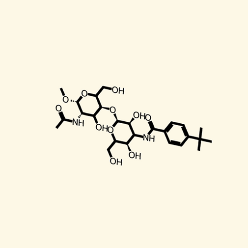 CO[C@@H]1OC(CO)[C@@H](O[C@@H]2OC(CO)[C@H](O)C(NC(=O)c3ccc(C(C)(C)C)cc3)[C@@H]2O)C(O)[C@@H]1NC(C)=O